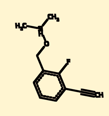 C#Cc1cccc(CO[SiH](C)C)c1F